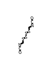 O=C=NCSSSSCN=C=O